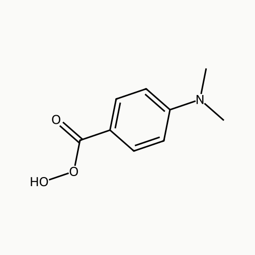 CN(C)c1ccc(C(=O)OO)cc1